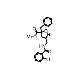 COC(=O)C1(Cc2ccccc2)CC(CNC(=O)c2ccccc2Cl)=NO1